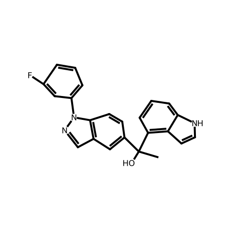 CC(O)(c1ccc2c(cnn2-c2cccc(F)c2)c1)c1cccc2[nH]ccc12